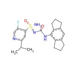 CC(C)c1cc([S@@](N)(=O)=NC(=O)Nc2c3c(cc4c2CCC4)CCC3)c(F)cn1